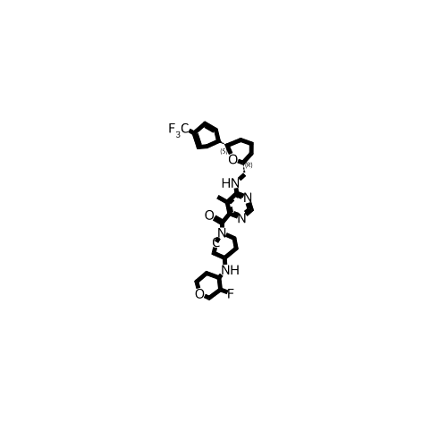 Cc1c(NC[C@H]2CCC[C@@H](C3C=CC(C(F)(F)F)=CC3)O2)ncnc1C(=O)N1CCC(NC2CCOCC2F)CC1